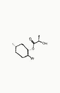 CC(C)C1CC[C@H](C)C[C@@H]1OC(=O)[C@@H](C)O